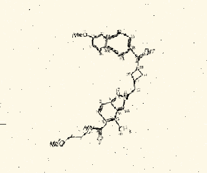 COCCNC(=O)c1ccc2nn(CC3CN(C(=O)c4ccc5cc(OC)ccc5c4)C3)cc2c1C